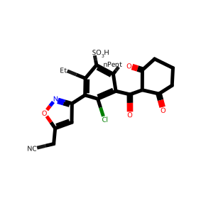 CCCCCc1c(C(=O)C2C(=O)CCCC2=O)c(Cl)c(-c2cc(CC#N)on2)c(CC)c1S(=O)(=O)O